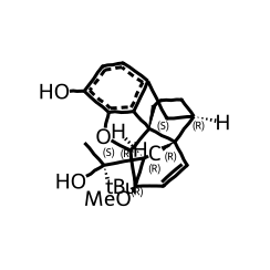 CO[C@]12C=C[C@@]3(C[C@@H]1[C@](C)(O)C(C)(C)C)[C@@H]1CCC[C@@]34c3c(ccc(O)c3O[C@@H]24)C1